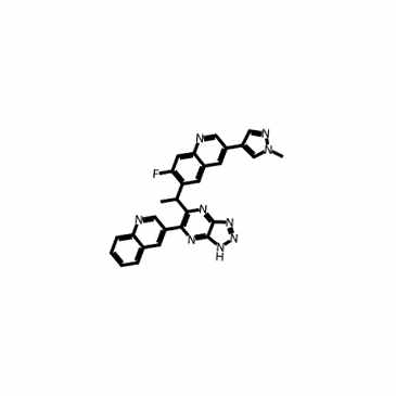 CC(c1cc2cc(-c3cnn(C)c3)cnc2cc1F)c1nc2nn[nH]c2nc1-c1cnc2ccccc2c1